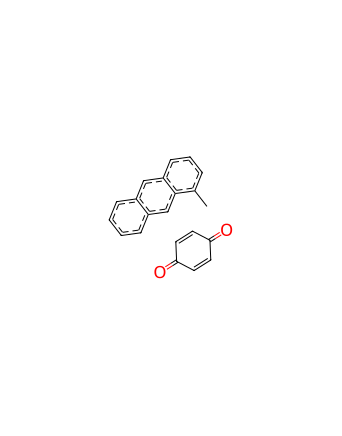 Cc1cccc2cc3ccccc3cc12.O=C1C=CC(=O)C=C1